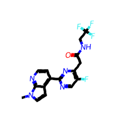 Cn1ccc2c(-c3ncc(F)c(CC(=O)NCC(F)(F)F)n3)ccnc21